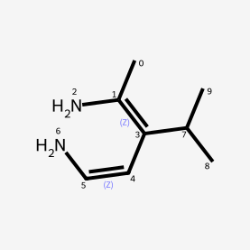 C/C(N)=C(/C=C\N)C(C)C